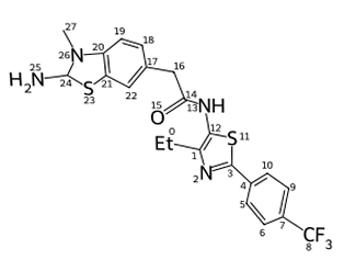 CCc1nc(-c2ccc(C(F)(F)F)cc2)sc1NC(=O)Cc1ccc2c(c1)SC(N)N2C